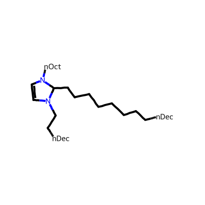 CCCCCCCCCCCCCCCCCCC1N(CCCCCCCC)C=CN1CCCCCCCCCCCC